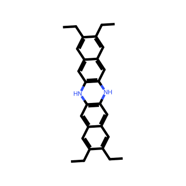 CCc1cc2cc3c(cc2cc1CC)Nc1cc2cc(CC)c(CC)cc2cc1N3